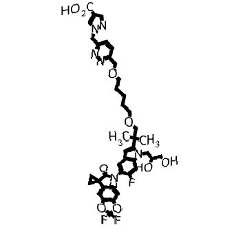 CC(C)(COCCCCCOCc1ccc(Cn2cc(C(=O)O)cn2)nn1)c1cc2cc(NC(=O)C3(c4ccc5c(c4)OC(F)(F)O5)CC3)c(F)cc2n1CC(O)CO